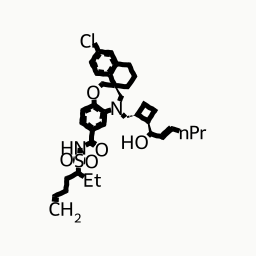 C=CCCC(CC)S(=O)(=O)NC(=O)c1ccc2c(c1)N(C[C@@H]1CC[C@H]1C(O)/C=C/CCC)C[C@@]1(CCCc3cc(Cl)ccc31)CO2